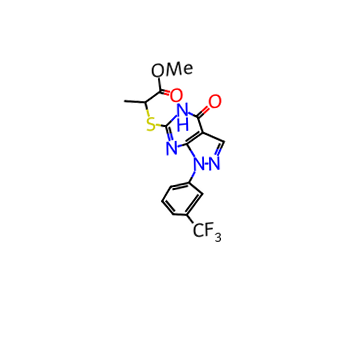 COC(=O)C(C)Sc1nc2c(cnn2-c2cccc(C(F)(F)F)c2)c(=O)[nH]1